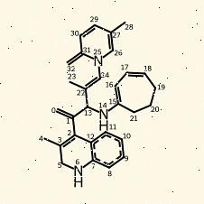 C=C(C1=C(C)CNc2ccccc21)C(NC1=CC=CCCC1)/C(C)=C/N1C=C(C)C=CC1=C